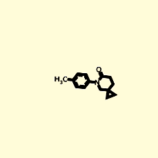 Cc1ccc(N2CC3(CCC2=O)CC3)cc1